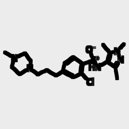 Cc1nn(C)c(C)c1N[S+]([O-])c1ccc(CCCN2CCN(C)CC2)cc1Cl